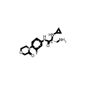 NC[C@@H](NC1CC1)C(=O)Nc1ccc(N2CCOCC2=O)c(F)c1